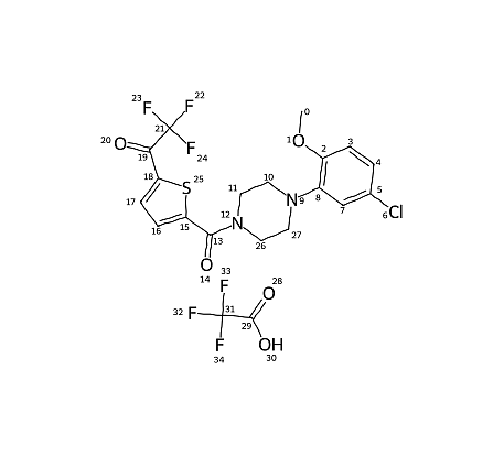 COc1ccc(Cl)cc1N1CCN(C(=O)c2ccc(C(=O)C(F)(F)F)s2)CC1.O=C(O)C(F)(F)F